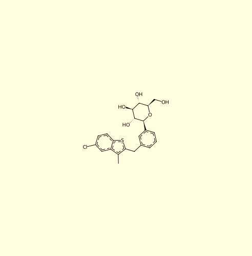 Cc1c(Cc2cccc([C@@H]3O[C@H](CO)[C@@H](O)[C@H](O)[C@H]3O)c2)sc2ccc(Cl)cc12